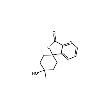 CC1(O)CCC2(CC1)OC(=O)c1ncccc12